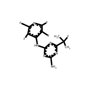 CC(C)(F)c1nc(N)nc(Nc2c(F)c(F)nc(F)c2F)n1